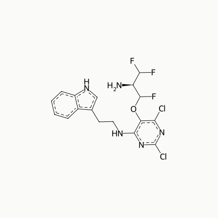 N[C@@H](C(F)F)C(F)Oc1c(Cl)nc(Cl)nc1NCCc1c[nH]c2ccccc12